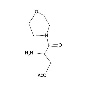 CC(=O)OCC(N)C(=O)N1CCOCC1